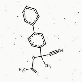 C#CC(C)(OC(C)=O)c1ccc(-c2ccccc2)cc1